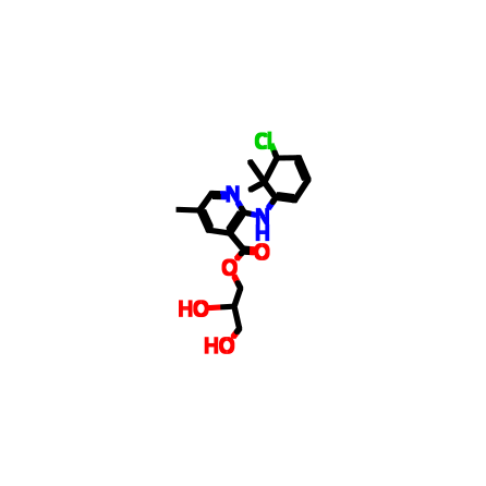 Cc1cnc(NC2=CC=CC(Cl)C2(C)C)c(C(=O)OCC(O)CO)c1